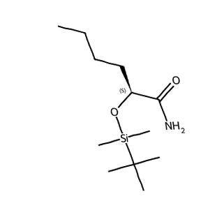 CCCC[C@H](O[Si](C)(C)C(C)(C)C)C(N)=O